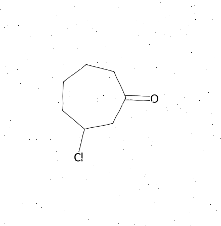 O=C1CCCCC(Cl)C1